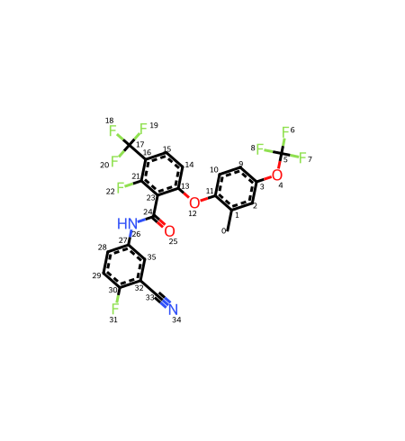 Cc1cc(OC(F)(F)F)ccc1Oc1ccc(C(F)(F)F)c(F)c1C(=O)Nc1ccc(F)c(C#N)c1